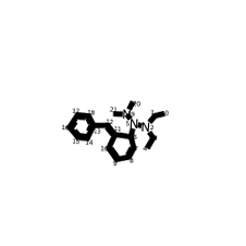 CCN(CC)N(C1C=CC=CC1=Cc1ccccc1)N(C)C